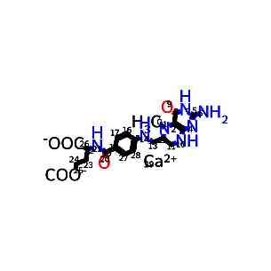 CN1c2c(nc(N)[nH]c2=O)NCC1CNc1ccc(C(=O)NC(CCC(=O)[O-])C(=O)[O-])cc1.[Ca+2]